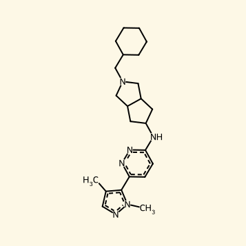 Cc1cnn(C)c1-c1ccc(NC2CC3CN(CC4CCCCC4)CC3C2)nn1